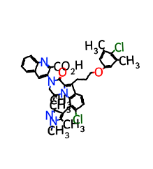 Cc1cc(OCCCc2c3n(c4c(-c5c(C)nn(C)c5C)c(Cl)ccc24)[C@H](C)CN(c2cc4ccccc4nc2C(=O)O)C3=O)cc(C)c1Cl